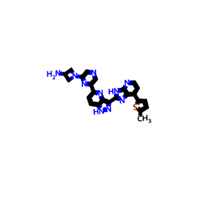 Cc1ccc(-c2ccnc3[nH]c(-c4n[nH]c5ccc(-c6cncc(N7CC(N)C7)n6)nc45)nc23)s1